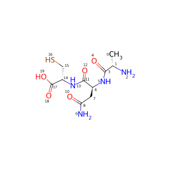 C[C@H](N)C(=O)N[C@@H](CC(N)=O)C(=O)N[C@@H](CS)C(=O)O